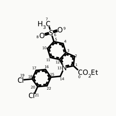 CCOC(=O)c1cc2cc(S(C)(=O)=O)ccc2n1Cc1ccc(Cl)c(Cl)c1